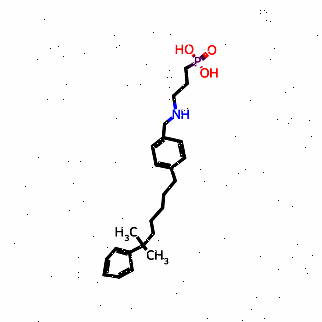 CC(C)(CCCCCc1ccc(CNCCCP(=O)(O)O)cc1)c1ccccc1